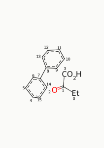 CCC(=O)C(=O)O.c1ccc(-c2ccccc2)cc1